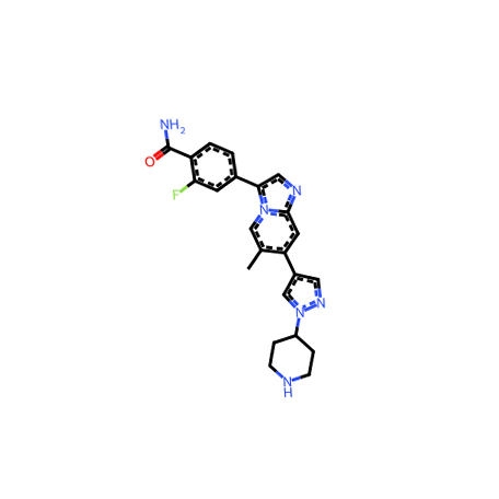 Cc1cn2c(-c3ccc(C(N)=O)c(F)c3)cnc2cc1-c1cnn(C2CCNCC2)c1